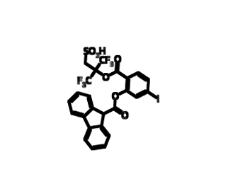 O=C(OC(CS(=O)(=O)O)(C(F)(F)F)C(F)(F)F)c1ccc(I)cc1OC(=O)C1c2ccccc2-c2ccccc21